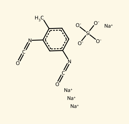 Cc1ccc(N=C=O)cc1N=C=O.[Na+].[Na+].[Na+].[Na+].[O-][Si]([O-])([O-])[O-]